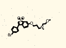 COCCN(C)CCCOc1ccc2c(c1)S(=O)(=O)C=C2c1ccc(Br)cc1